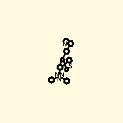 c1ccc(-c2nc(-c3ccccc3)nc(-c3ccc4c(c3)C3(c5ccccc5Sc5ccccc53)c3cc(-c5ccc(-c6cccc7cccnc67)cc5)ccc3-4)n2)cc1